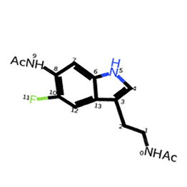 CC(=O)NCCc1c[nH]c2cc(NC(C)=O)c(F)cc12